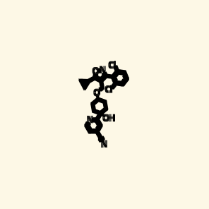 N#Cc1ccnc([C@]2(O)CC[C@@H](OCc3c(-c4c(Cl)cccc4Cl)noc3C3CC3)CC2)c1